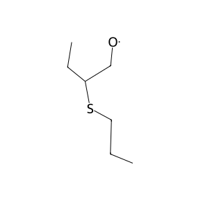 CCCSC(CC)C[O]